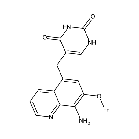 CCOc1cc(Cc2c[nH]c(=O)[nH]c2=O)c2cccnc2c1N